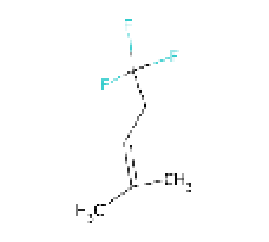 CC(C)=CCC(F)(F)F